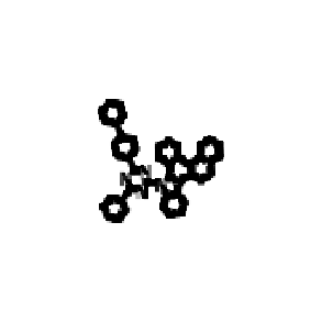 c1ccc(-c2ccc(-c3nc(-c4ccccc4)nc(-n4c5ccccc5c5c6ccc7ccccc7c6c6ccccc6c54)n3)cc2)cc1